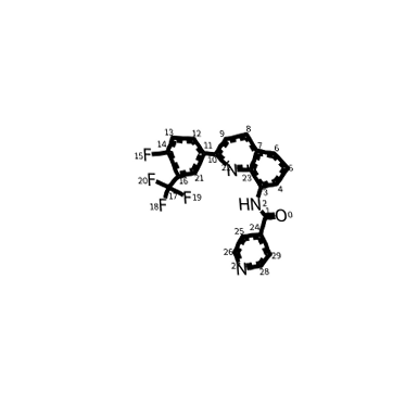 O=C(Nc1cccc2ccc(-c3ccc(F)c(C(F)(F)F)c3)nc12)c1ccncc1